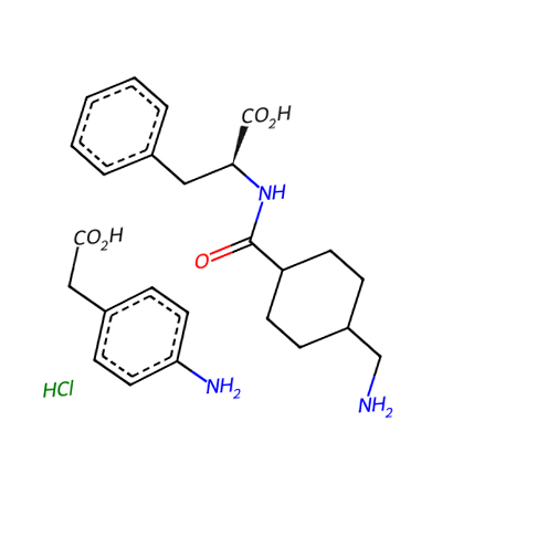 Cl.NCC1CCC(C(=O)N[C@@H](Cc2ccccc2)C(=O)O)CC1.Nc1ccc(CC(=O)O)cc1